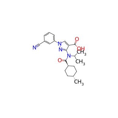 CC(C)N(c1nn(-c2cccc(C#N)c2)cc1C(=O)O)C(=O)[C@H]1CC[C@H](C)CC1